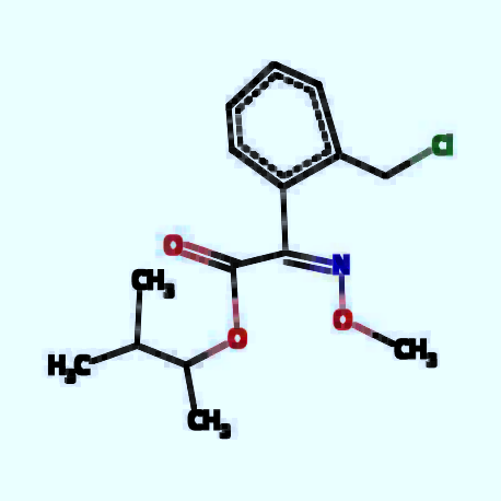 CON=C(C(=O)OC(C)C(C)C)c1ccccc1CCl